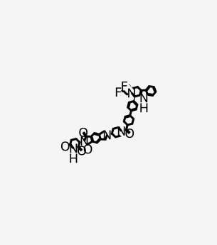 C[C@@H]1Cc2c([nH]c3ccccc23)[C@@H](c2ccc(C3=CCC(C(=O)N4CCC(N5Cc6cc7c(cc6C5)C(=O)N(C5CCC(=O)NC5=O)C7=O)CC4)CC3)cc2)N1CC(F)F